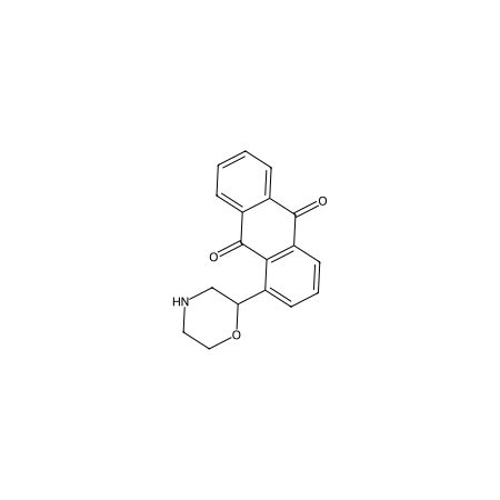 O=C1c2ccccc2C(=O)c2c1cccc2C1CNCCO1